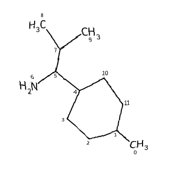 CC1CCC(C(N)C(C)C)CC1